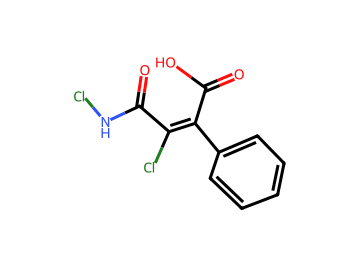 O=C(O)C(=C(Cl)C(=O)NCl)c1ccccc1